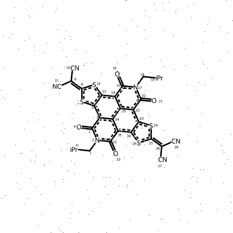 CC(C)Cn1c(=O)c2c3sc(=C(C#N)C#N)sc3c3c(=O)n(CC(C)C)c(=O)c4c5sc(=C(C#N)C#N)sc5c(c1=O)c2c34